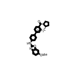 COc1ccc2nc(Nc3ccc(-c4ccc(C(=O)[C@H]5CCC[C@@H]5C(=O)O)cc4)cc3)oc2c1